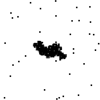 CN1O[C@@H](CNCC(F)F)Cn2nc3c(c2C1=O)CN(C(=O)Nc1cc(Br)c(F)cc1F)CC3